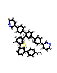 N#Cc1ccc(-c2cccc3c2sc2c(-c4cc(-c5ccc(-c6cccnc6)cc5)ccc4-c4ccc(-c5cccnc5)cc4)cccc23)cc1